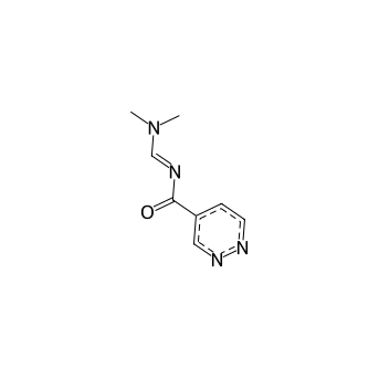 CN(C)/C=N/C(=O)c1ccnnc1